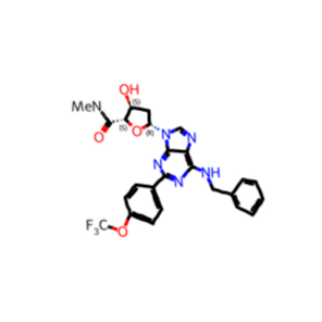 CNC(=O)[C@H]1O[C@@H](n2cnc3c(NCc4ccccc4)nc(-c4ccc(OC(F)(F)F)cc4)nc32)C[C@@H]1O